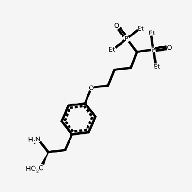 CCP(=O)(CC)C(CCCOc1ccc(C[C@H](N)C(=O)O)cc1)P(=O)(CC)CC